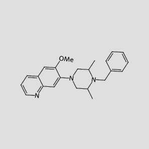 COc1cc2cccnc2cc1N1CC(C)N(Cc2ccccc2)C(C)C1